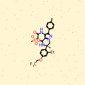 CCc1cc(OCC(F)(F)F)ccc1[C@@]1(C)Cn2nc(-c3ccc(C)cc3)c(NC(=O)CS(C)(=O)=O)c2C(=O)N1